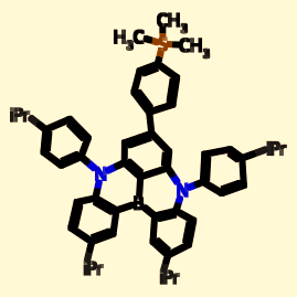 CC(C)c1ccc(N2c3ccc(C(C)C)cc3B3c4cc(C(C)C)ccc4N(c4ccc(C(C)C)cc4)c4cc(-c5ccc(S(C)(C)C)cc5)cc2c43)cc1